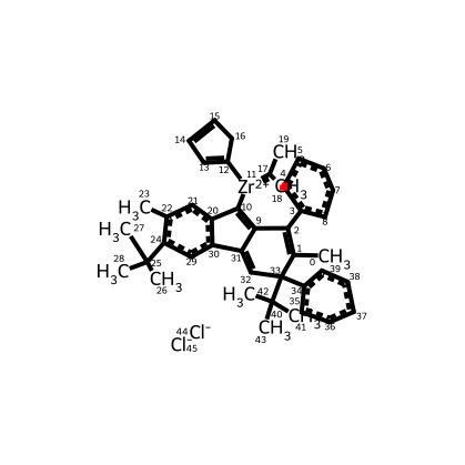 CC1=C(c2ccccc2)C2=[C]([Zr+2]([C]3=CC=CC3)=[C](C)C)c3cc(C)c(C(C)(C)C)cc3C2=CC1(c1ccccc1)C(C)(C)C.[Cl-].[Cl-]